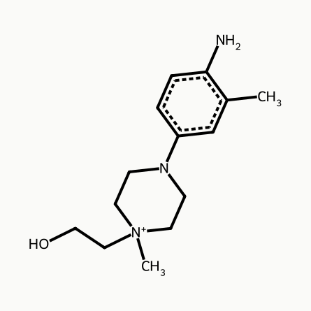 Cc1cc(N2CC[N+](C)(CCO)CC2)ccc1N